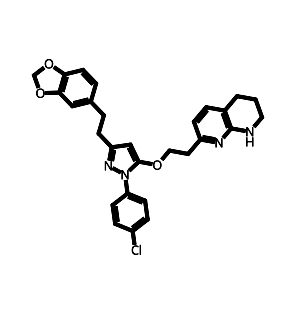 Clc1ccc(-n2nc(CCc3ccc4c(c3)OCO4)cc2OCCc2ccc3c(n2)NCCC3)cc1